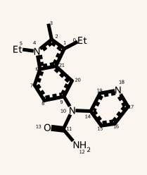 CCc1c(C)n(CC)c2ccc(N(C(N)=O)c3cccnc3)cc12